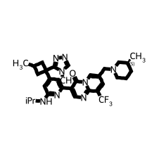 CC1CC(c2cc(NC(C)C)nc(-c3cnc4c(C(F)(F)F)cc(CN5CCC[C@H](C)C5)cn4c3=O)c2)(c2nncn2C)C1